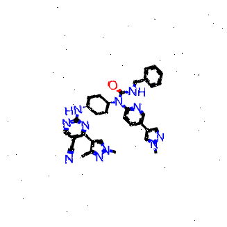 Cc1nn(C)cc1-c1nc(N[C@H]2CC[C@H](N(C(=O)NCc3ccccc3)c3ccc(-c4cnn(C)c4)cn3)CC2)ncc1C#N